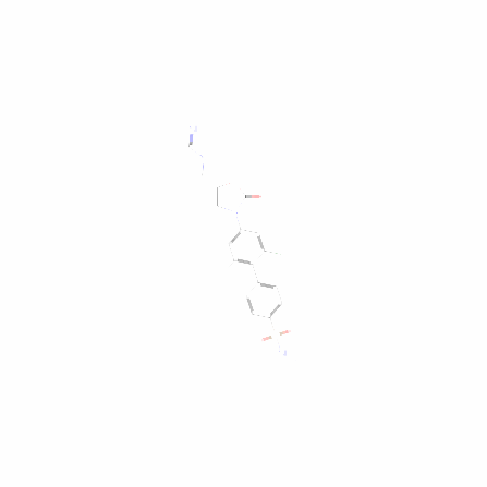 N=CNC[C@H]1CN(c2cc(F)c(-c3ccc(S(N)(=O)=O)cc3)c(F)c2)C(=O)O1